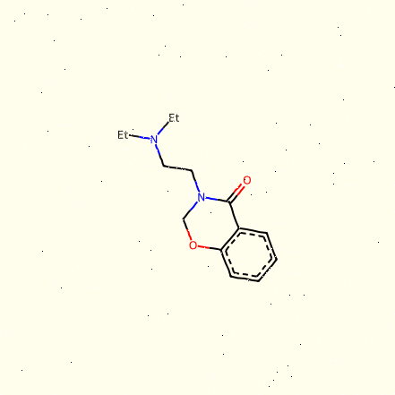 CCN(CC)CCN1COc2ccccc2C1=O